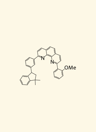 COc1ccccc1-c1ccc2ccc3ccc(-c4cccc(C5CC(C)(C)c6ccccc65)c4)nc3c2n1